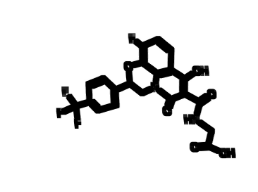 O=C(O)CNC(=O)c1c(O)c2ccc(F)c3c2n(c1=O)CC(c1ccc(C(F)(F)F)cc1)O3